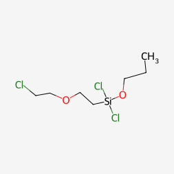 CCCO[Si](Cl)(Cl)CCOCCCl